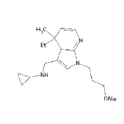 CCC1(C)C=CN=C2C1C(CNC1CC1)=CN2CCCOC